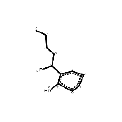 CCCCC(F)c1ccccc1O